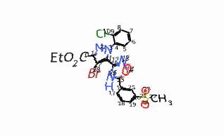 CCOC(=O)c1nn(-c2ccccc2Cl)c(C2=NOC(c3cccc(S(C)(=O)=O)c3)N2)c1Br